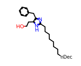 CCCCCCCCCCCCCCCCCCc1nc(Cc2ccccc2)c(CCO)[nH]1